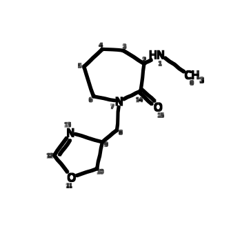 CNC1CCCCN(CC2COC=N2)C1=O